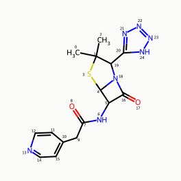 CC1(C)SC2C(NC(=O)Cc3ccncc3)C(=O)N2C1c1nnn[nH]1